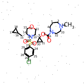 CN1CCCN(C(=O)OC2([C@H]3COC[C@@H](CC4CC4)N3S(=O)(=O)c3ccc(Cl)cc3)CC2)CC1